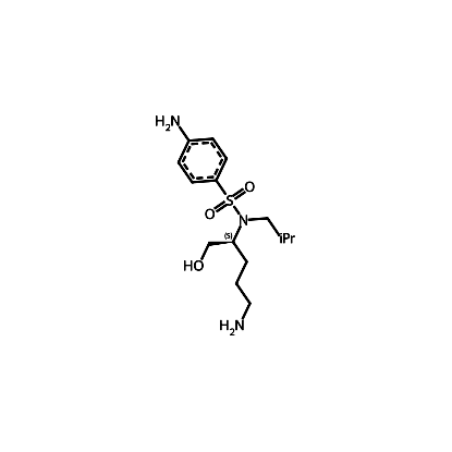 CC(C)CN([C@H](CO)CCCN)S(=O)(=O)c1ccc(N)cc1